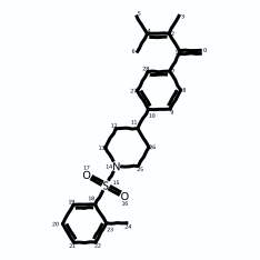 C=C(C(C)=C(C)C)c1ccc(C2CCN(S(=O)(=O)c3ccccc3C)CC2)cc1